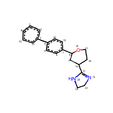 c1ccc(-c2ccc(C3CC(C4=NCCN4)CCO3)cc2)cc1